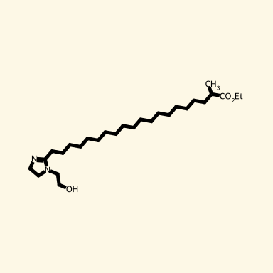 CCOC(=O)C(C)CCCCCCCCCCCCCCCCCCC1=NCCN1CCO